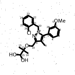 COc1cccc(-c2c(C)c(COC(C)(C)C(O)O)nn2Cc2ccccc2Cl)c1